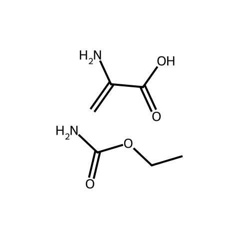 C=C(N)C(=O)O.CCOC(N)=O